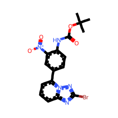 CC(C)(C)OC(=O)Nc1ccc(-c2cccc3nc(Br)nn23)cc1[N+](=O)[O-]